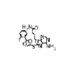 NC(=O)CCCn1c(SC2=COC(c3ccccc3I)O2)nc2c(N)ncnc21